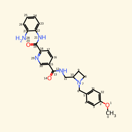 COc1ccc(CN2CCC2CNC(=O)c2ccc(C(=O)Nc3ccccc3N)nc2)cc1